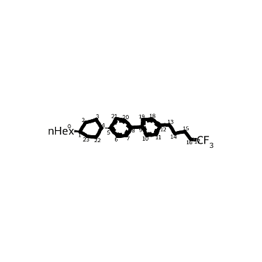 CCCCCC[C@H]1CC[C@H](c2ccc(-c3ccc(CCCCC(F)(F)F)cc3)cc2)CC1